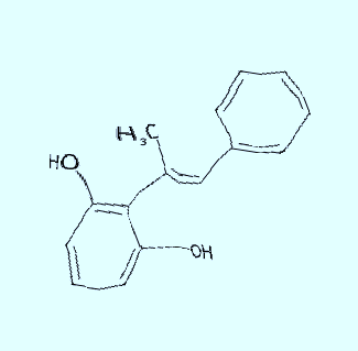 C/C(=C\c1ccccc1)c1c(O)cccc1O